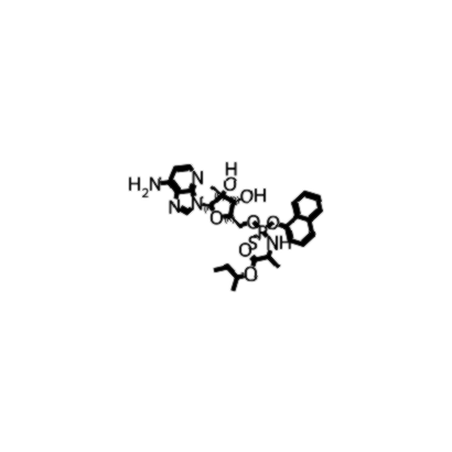 CCC(C)OC(=O)C(C)NP(=S)(OC[C@H]1O[C@@H](n2cnc3c(N)ccnc32)[C@](C)(O)[C@@H]1O)Oc1cccc2ccccc12